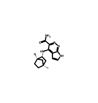 C[C@]12CC[C@H](C1)[C@H](Nc1c(C(N)=O)nnc3[nH]ccc13)C2